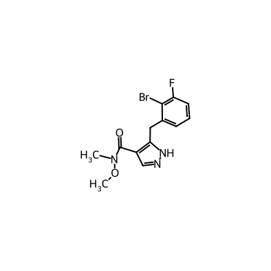 CON(C)C(=O)c1cn[nH]c1Cc1cccc(F)c1Br